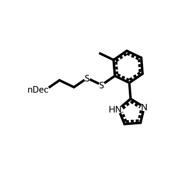 CCCCCCCCCCCCSSc1c(C)cccc1-c1ncc[nH]1